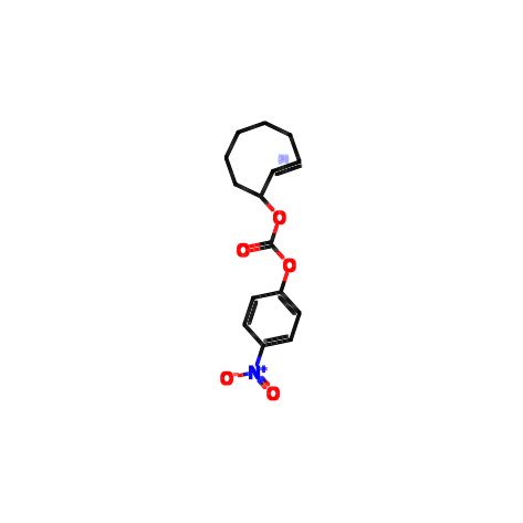 O=C(Oc1ccc([N+](=O)[O-])cc1)OC1/C=C/CCCCC1